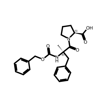 C[C@](Cc1ccccc1)(NC(=O)OCc1ccccc1)C(=O)N1CCC[C@H]1C(=O)O